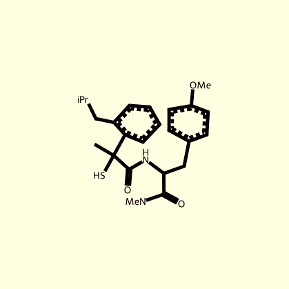 CNC(=O)C(Cc1ccc(OC)cc1)NC(=O)C(C)(S)c1ccccc1CC(C)C